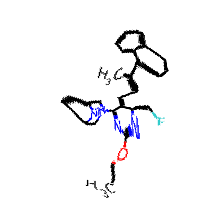 CCCOc1nc(N2CC3CCC(C2)N3)c(=C/C=C(\C)c2cccc3ccccc23)/c(=C/F)n1